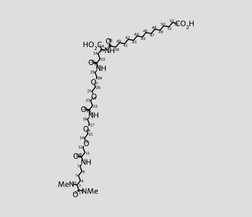 CNC(=O)C(CCCCNC(=O)CCOCCOCCNC(=O)CCOCCOCCNC(=O)CCC(NC(=O)CCCCCCCCCCCCCCC(=O)O)C(=O)O)NC